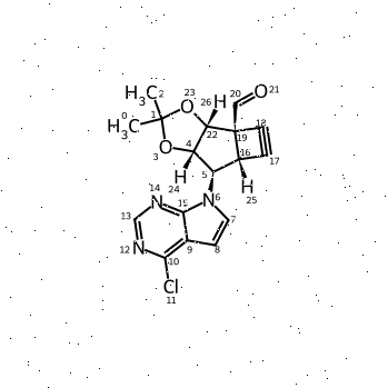 CC1(C)O[C@H]2[C@H](n3ccc4c(Cl)ncnc43)[C@H]3C#C[C@@]3(C=O)[C@H]2O1